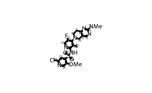 CNc1ncc2c(n1)CCN(c1c(F)cnc(NS(=O)(=O)c3cc(Cl)ncc3OC)c1F)C2